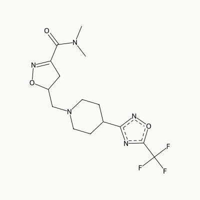 CN(C)C(=O)C1=NOC(CN2CCC(c3noc(C(F)(F)F)n3)CC2)C1